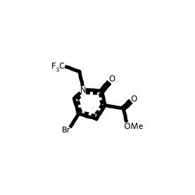 COC(=O)c1cc(Br)cn(CC(F)(F)F)c1=O